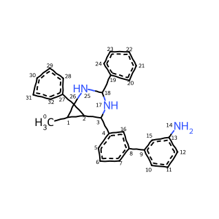 CC1C2C(c3cccc(-c4cccc(N)c4)c3)NC(c3ccccc3)NC12c1ccccc1